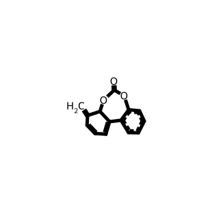 C=C1C=CC=C2c3ccccc3OC(=O)OC12